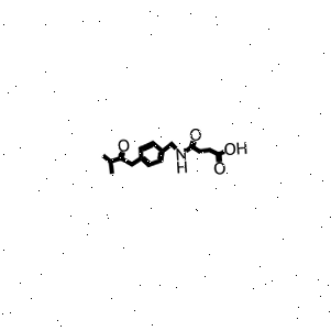 CC(C)C(=O)Cc1ccc(CNC(=O)CCC(=O)O)cc1